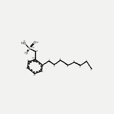 CCCCCCCCc1ccccc1CS(=O)(=O)O